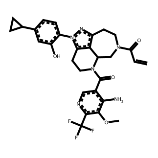 C=CC(=O)N1CCc2nn(-c3ccc(C4CC4)cc3O)c3c2C(C1)N(C(=O)c1cnc(C(F)(F)F)c(OC)c1N)CC3